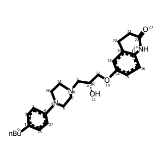 CCCCc1ccc(N2CCN(C[C@@H](O)COc3ccc4c(c3)CCC(=O)N4)CC2)cc1